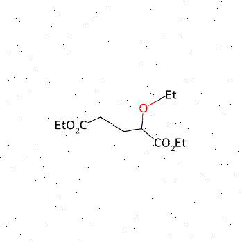 CCOC(=O)CCC(OCC)C(=O)OCC